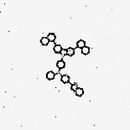 c1ccc(N(c2ccc(-c3cn4ccccc4n3)cc2)c2ccc(-n3c4ccc(-c5cccc6ccccc56)cc4c4cc(-c5cccc6ccccc56)ccc43)cc2)cc1